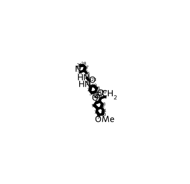 C=CC(c1ccc2cc(OC)ccc2c1)S(=O)(=O)c1ccc(NC(=O)NCc2cccnc2)cc1